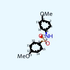 COc1ccc(NS(=O)(=O)c2ccc(OC)cc2)cc1